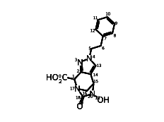 O=C(O)C1c2nn(CCc3ccccc3)cc2C2CN1C(=O)N2O